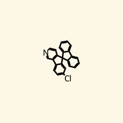 Clc1ccc2c(c1)C1(c3ccccc3-c3ccccc31)c1ccncc1-2